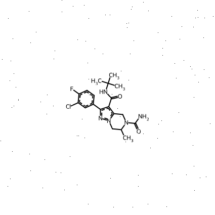 CC1Cn2nc(-c3ccc(F)c(Cl)c3)c(C(=O)NC(C)(C)C)c2CN1C(N)=O